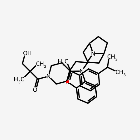 Cc1nc2ccccc2n1C1CC2CCC(C1)N2CCC1(c2cccc(C(C)C)c2)CCN(C(=O)C(C)(C)CO)CC1